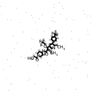 CCc1nc2c(cc1-c1ccc(C(F)(F)F)cc1)c(OCC(F)(F)F)c(C(=O)NC1CCN(C(=O)CO)CC1)n2C